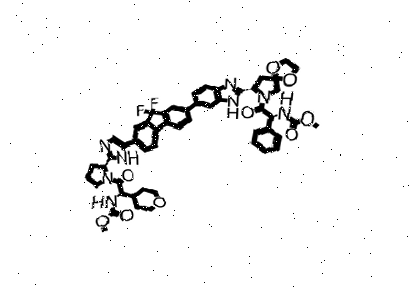 COC(=O)N[C@H](C(=O)N1CCC[C@H]1c1ncc(-c2ccc3c(c2)C(F)(F)c2cc(-c4ccc5nc([C@@H]6CC7(CN6C(=O)[C@H](NC(=O)OC)c6ccccc6)OCCO7)[nH]c5c4)ccc2-3)[nH]1)C1CCOCC1